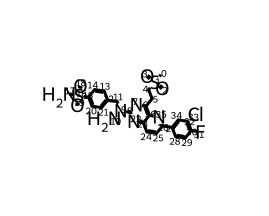 CS(=O)(=O)CCc1nc(N(N)Cc2ccc(S(N)(=O)=O)cc2)nc2ccc(-c3ccc(F)c(Cl)c3)nc12